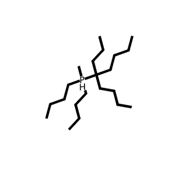 CCCCC(CCC)(CCCC)[PH](C)(CCCC)CCCC